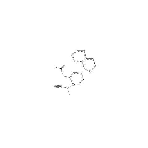 CC(=O)Oc1ccccc1C(O)C#N.c1ccc2ccccc2c1